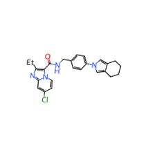 CCc1nc2cc(Cl)ccn2c1C(=O)NCc1ccc(-n2cc3c(c2)CCCC3)cc1